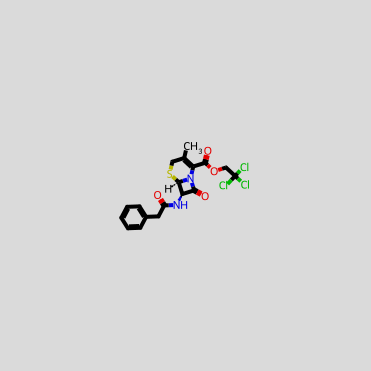 CC1=C(C(=O)OCC(Cl)(Cl)Cl)N2C(=O)[C@@H](NC(=O)Cc3ccccc3)[C@H]2SC1